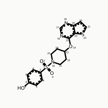 O=S(=O)(c1ccc(O)cc1)N1CCC(Oc2ncnc3ccsc23)CC1